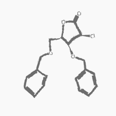 O=C1O[C@H](COCc2ccccc2)[C@H](OCc2ccccc2)[C@@H]1Cl